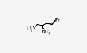 CC(C)CCC(N)CN